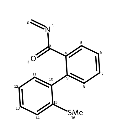 C=NC(=O)c1ccccc1-c1ccccc1SC